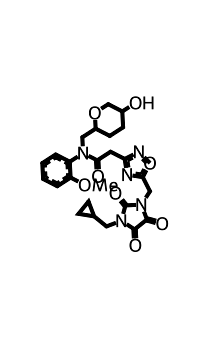 COc1ccccc1N(CC1CCC(O)CO1)C(=O)Cc1noc(CN2C(=O)C(=O)N(CC3CC3)C2=O)n1